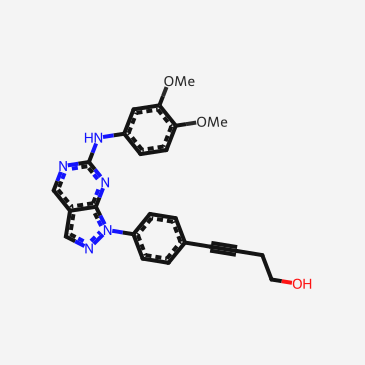 COc1ccc(Nc2ncc3cnn(-c4ccc(C#CCCO)cc4)c3n2)cc1OC